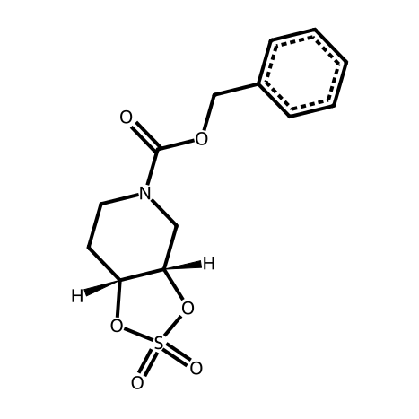 O=C(OCc1ccccc1)N1CC[C@H]2OS(=O)(=O)O[C@H]2C1